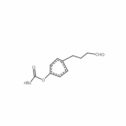 CCCCC(=O)Oc1ccc(CCC[C]=O)cc1